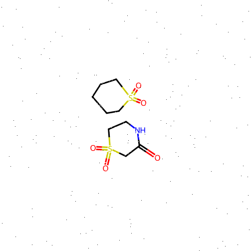 O=C1CS(=O)(=O)CCN1.O=S1(=O)CCCCC1